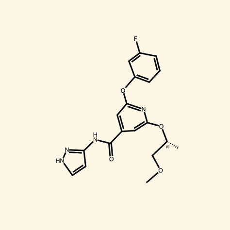 COC[C@@H](C)Oc1cc(C(=O)Nc2cc[nH]n2)cc(Oc2cccc(F)c2)n1